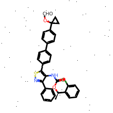 C[C@@H](OC(=O)Nc1c(-c2ccccc2)nsc1-c1ccc(-c2ccc(C3(OC=O)CC3)cc2)cc1)c1ccccc1Cl